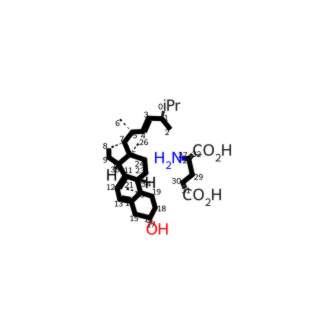 CC(C)[C@@H](C)/C=C/[C@@H](C)[C@H]1CC[C@H]2C3=CC=C4C[C@@H](O)CC[C@]4(C)[C@H]3CC[C@]12C.NC(CCC(=O)O)C(=O)O